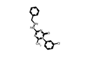 Cc1nc(NNCc2ccccc2)nc(=O)n1-c1cccc(Cl)c1